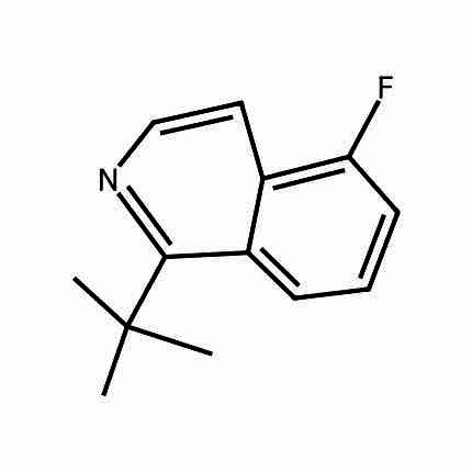 CC(C)(C)c1nccc2c(F)cccc12